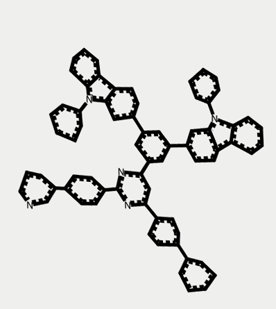 c1ccc(-c2ccc(-c3cc(-c4cc(-c5ccc6c7ccccc7n(-c7ccccc7)c6c5)cc(-c5ccc6c7ccccc7n(-c7ccccc7)c6c5)c4)nc(-c4ccc(-c5cccnc5)cc4)n3)cc2)cc1